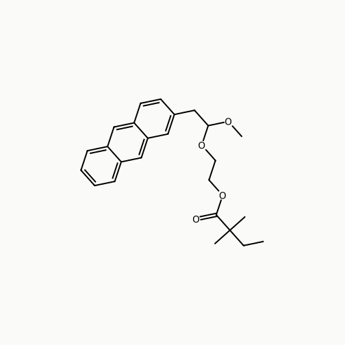 CCC(C)(C)C(=O)OCCOC(Cc1ccc2cc3ccccc3cc2c1)OC